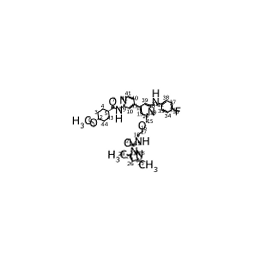 CO[C@H]1CC[C@@H](C(=O)Nc2cc(-c3cc(COCCNC(=O)n4nc(C)cc4C)nc(Nc4ccc(F)cc4)c3)ccn2)CC1